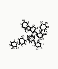 c1ccc(-c2ccc(-c3nc(-c4ccccc4)nc(-c4c(-c5cccc6oc7ccccc7c56)ccc5c4oc4ccccc45)n3)cc2)cc1